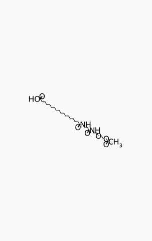 CC(=O)OCCOCCNC(=O)CCNC(=O)CCCCCCCCCCCCCCCCC(=O)O